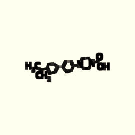 CC(C)c1ccc(-c2ccc(N3CCN(C(=O)O)CC3)cc2)cc1